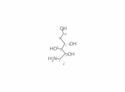 C[C@H](N)C(O)C(O)[C@@H](O)CCO